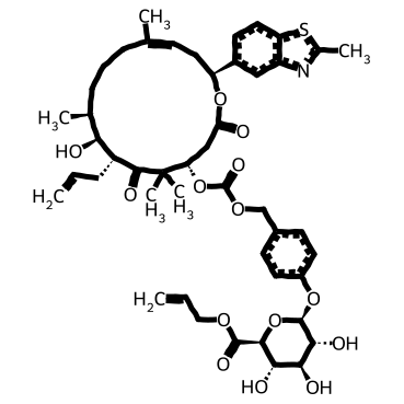 C=CCOC(=O)[C@H]1O[C@@H](Oc2ccc(COC(=O)O[C@H]3CC(=O)O[C@H](c4ccc5sc(C)nc5c4)C/C=C(/C)CCC[C@H](C)[C@H](O)[C@@H](CC=C)C(=O)C3(C)C)cc2)[C@H](O)[C@@H](O)[C@@H]1O